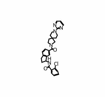 O=C(NC1CCc2ccc(C(=O)N3CCC4(CCN(c5ncccn5)CC4)C3)cc21)c1ccccc1Cl